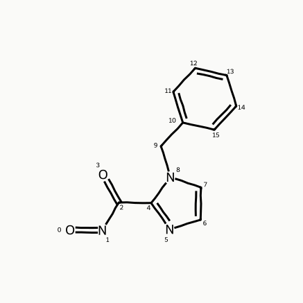 O=NC(=O)c1nccn1Cc1ccccc1